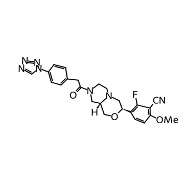 COc1ccc([C@@H]2CN3CCN(C(=O)Cc4ccc(-n5cnnn5)cc4)C[C@H]3CO2)c(F)c1C#N